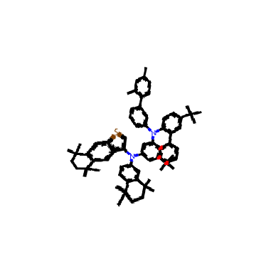 Cc1ccc(-c2cccc(N(c3cc(N(c4ccc5c(c4)C(C)(C)CCC5(C)C)c4csc5cc6c(cc45)C(C)(C)CCC6(C)C)cc(C(C)(C)C)c3)c3ccc(C(C)(C)C)cc3-c3ccccc3)c2)c(C)c1